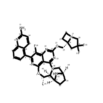 C[C@@H]1Oc2nc(-c3cccc4nc(N)ccc34)c(F)c3nc(OC[C@]45CCN4CC(F)(F)C5)nc(c23)N2C[C@H]3CC[C@H](N3)[C@@H]12